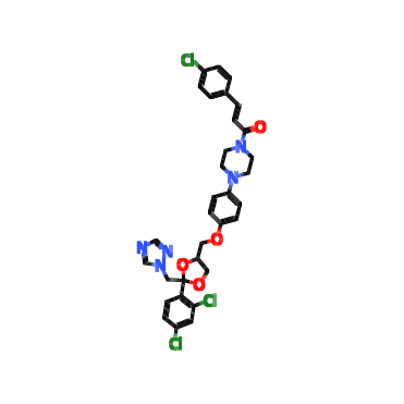 O=C(C=Cc1ccc(Cl)cc1)N1CCN(c2ccc(OCC3COC(Cn4cncn4)(c4ccc(Cl)cc4Cl)O3)cc2)CC1